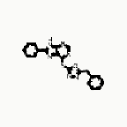 c1ccc(Cc2nnc(Sc3ncnc4[nH]c(-c5ccccc5)nc34)o2)cc1